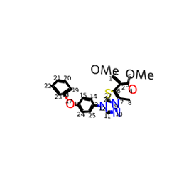 CO/C=C(\C(=O)OC)C1=C(C)N2N=CN(c3ccc(Oc4ccccc4)cc3)C2S1